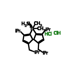 CC(C)CC1=CC(C(C)C)=[C]([Ti]([CH3])([CH3])(=[SiH2])[C]2=C(C(C)C)C=C(CC(C)C)C2)C1.Cl.Cl